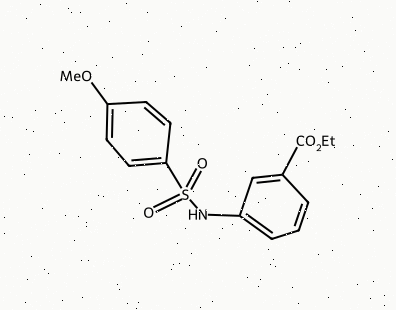 CCOC(=O)c1cccc(NS(=O)(=O)c2ccc(OC)cc2)c1